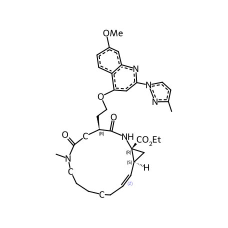 CCOC(=O)[C@@]12C[C@H]1/C=C\CCCCCN(C)C(=O)C[C@@H](CCOc1cc(-n3ccc(C)n3)nc3cc(OC)ccc13)C(=O)N2